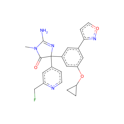 CN1C(=O)C(c2cc(OC3CC3)cc(-c3ccon3)c2)(c2ccnc(CF)c2)N=C1N